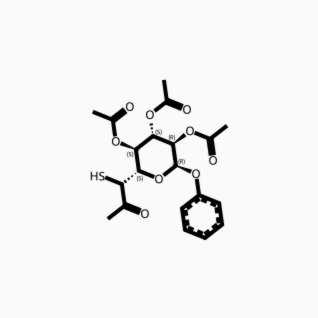 CC(=O)O[C@@H]1[C@@H](OC(C)=O)[C@@H](Oc2ccccc2)O[C@H](C(S)C(C)=O)[C@H]1OC(C)=O